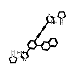 C(C#Cc1ccc(-c2cnc([C@@H]3CCCN3)[nH]2)cc1-c1ccc2ccccc2c1)#Cc1cnc([C@@H]2CCCN2)[nH]1